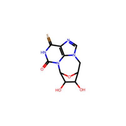 O=c1[nH]c(=S)c2ncn3c2n1C1OC(C3)C(O)C1O